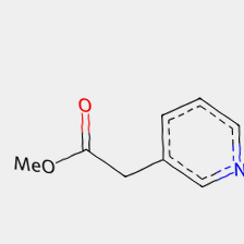 [CH2]OC(=O)Cc1cccnc1